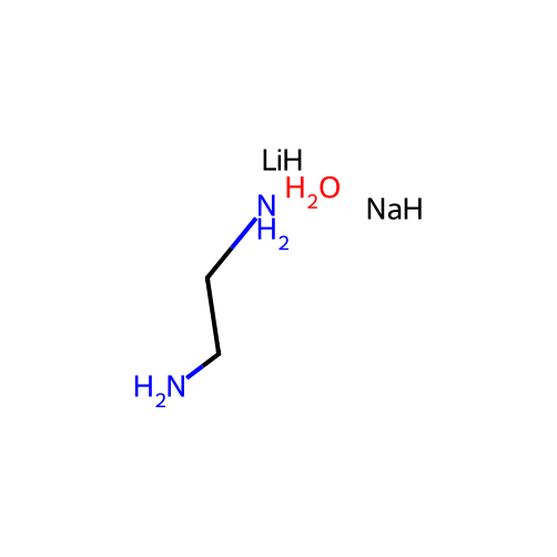 NCCN.O.[LiH].[NaH]